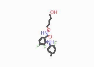 CC1=CC=C(Nc2c(C(=O)NOCCCCCO)ccc(F)c2F)C(F)=CC1